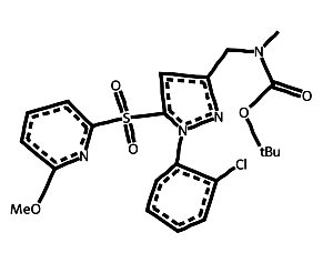 COc1cccc(S(=O)(=O)c2cc(CN(C)C(=O)OC(C)(C)C)nn2-c2ccccc2Cl)n1